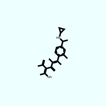 C=C(C)/C(C(=C)/C(C)=C(\C)c1ccc(C(C)NC2CC2)cc1C)=C(\C)CCC